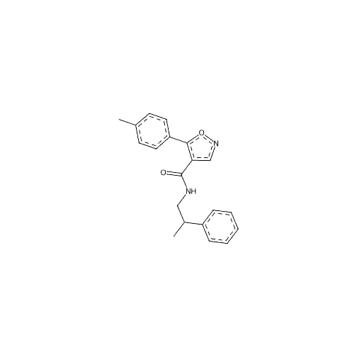 Cc1ccc(-c2oncc2C(=O)NCC(C)c2ccccc2)cc1